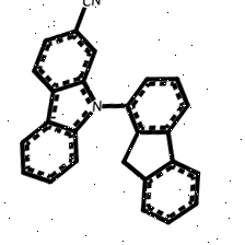 N#Cc1ccc2c3ccccc3n(-c3cccc4c3Cc3ccccc3-4)c2c1